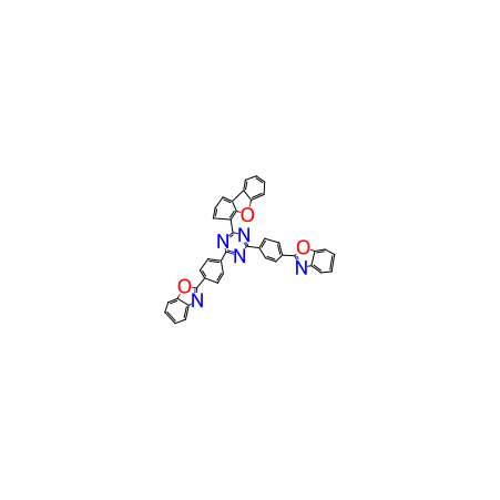 c1ccc2oc(-c3ccc(-c4nc(-c5ccc(-c6nc7ccccc7o6)cc5)nc(-c5cccc6c5oc5ccccc56)n4)cc3)nc2c1